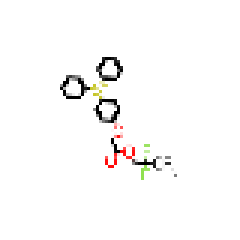 O=C(COc1ccc([S+](c2ccccc2)c2ccccc2)cc1)OCC(F)(F)C(F)(F)F